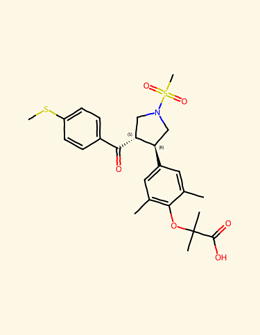 CSc1ccc(C(=O)[C@@H]2CN(S(C)(=O)=O)C[C@H]2c2cc(C)c(OC(C)(C)C(=O)O)c(C)c2)cc1